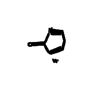 O=C1C=CC=N1.[H+]